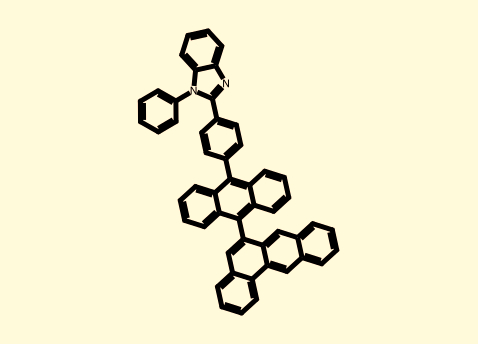 c1ccc(-n2c(-c3ccc(-c4c5ccccc5c(-c5cc6ccccc6c6cc7ccccc7cc56)c5ccccc45)cc3)nc3ccccc32)cc1